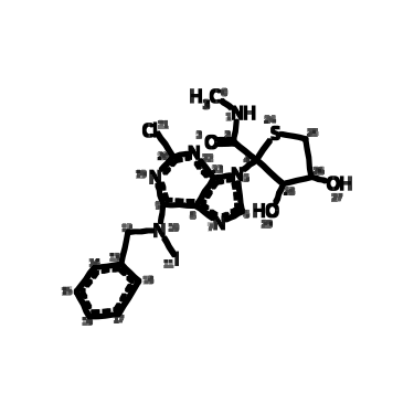 CNC(=O)C1(n2cnc3c(N(I)Cc4ccccc4)nc(Cl)nc32)SCC(O)C1O